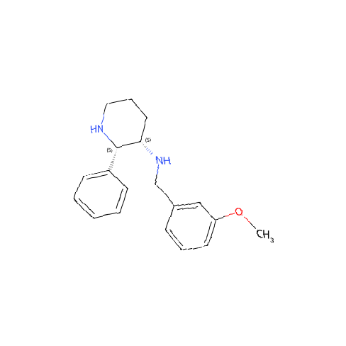 COc1cccc(CN[C@H]2CCCN[C@H]2c2ccccc2)c1